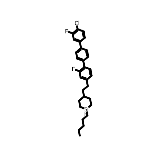 CCCCC[SiH]1CCC(CCc2ccc(-c3ccc(-c4ccc(Cl)c(F)c4)cc3)c(F)c2)CC1